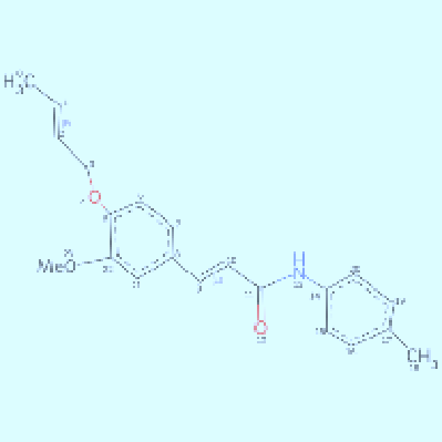 C/C=C/COc1ccc(/C=C/C(=O)Nc2ccc(C)cc2)cc1OC